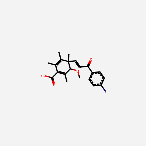 COC1C(C)=C(C(=O)O)C(C)=C(C)C1(C)C=CC(=O)c1ccc(I)cc1